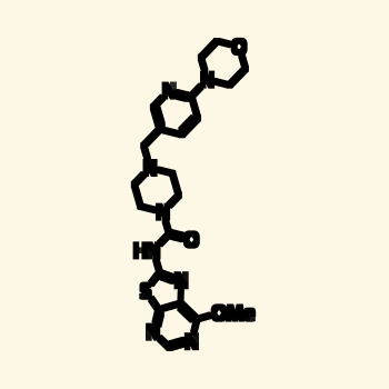 COc1ncnc2sc(NC(=O)N3CCN(Cc4ccc(N5CCOCC5)nc4)CC3)nc12